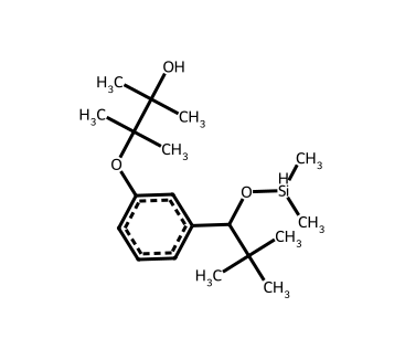 C[SiH](C)OC(c1cccc(OC(C)(C)C(C)(C)O)c1)C(C)(C)C